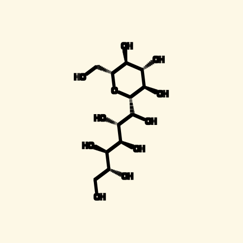 OC[C@@H](O)[C@@H](O)[C@H](O)[C@H](O)C(O)[C@@H]1O[C@H](CO)[C@@H](O)[C@H](O)[C@H]1O